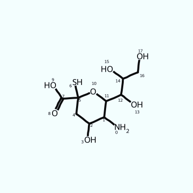 NC1C(O)CC(S)(C(=O)O)OC1C(O)C(O)CO